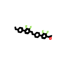 CCC1CC=C(c2ccc(CCC3CCC(c4ccc(C5CO5)c(F)c4F)CC3)c(F)c2F)CC1